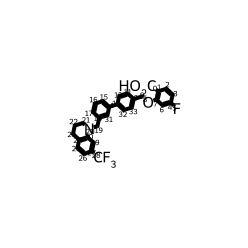 O=C(O)c1ccc(F)cc1OCc1ccc(-c2cccc(CN3CCCc4ccc(C(F)(F)F)cc43)c2)cc1